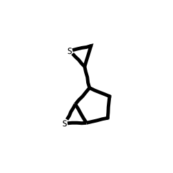 C1SC1C1CCC2SC21